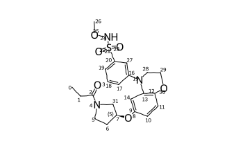 CCC(=O)N1CC[C@H](Oc2ccc3c(c2)N(c2cccc(S(=O)(=O)NOC)c2)CCO3)C1